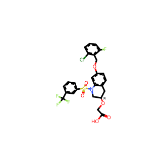 O=C(O)CO[C@@H]1Cc2ccc(OCc3c(F)cccc3Cl)cc2N(S(=O)(=O)c2cccc(C(F)(F)F)c2)C1